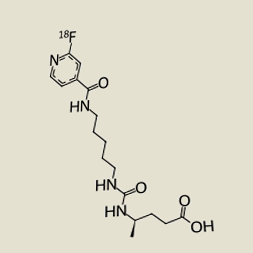 C[C@H](CCC(=O)O)NC(=O)NCCCCCNC(=O)c1ccnc([18F])c1